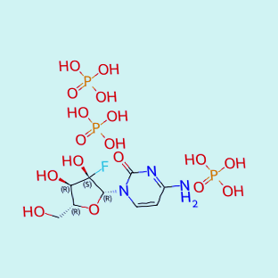 Nc1ccn([C@@H]2O[C@H](CO)[C@@H](O)[C@]2(O)F)c(=O)n1.O=P(O)(O)O.O=P(O)(O)O.O=P(O)(O)O